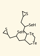 [SeH]C(CC1CS1)CC1C[Te]C[Te]C1CC([SeH])CC1CS1